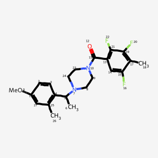 COc1ccc(C(C)N2CCN(C(=O)c3cc(F)c(C)c(F)c3F)CC2)c(C)c1